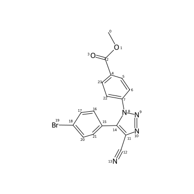 COC(=O)c1ccc(-n2nnc(C#N)c2-c2ccc(Br)cc2)cc1